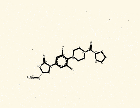 CC(=O)NC[C@H]1CN(c2cc(F)c(N3CCN(C(=O)[C@H]4CCCO4)CC3)c(F)c2)C(=O)O1